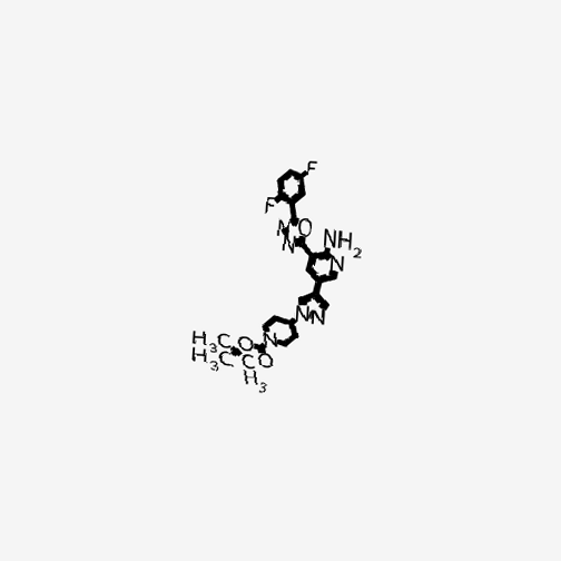 CC(C)(C)OC(=O)N1CCC(n2cc(-c3cnc(N)c(-c4nnc(-c5cc(F)ccc5F)o4)c3)cn2)CC1